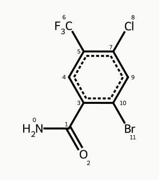 NC(=O)c1cc(C(F)(F)F)c(Cl)cc1Br